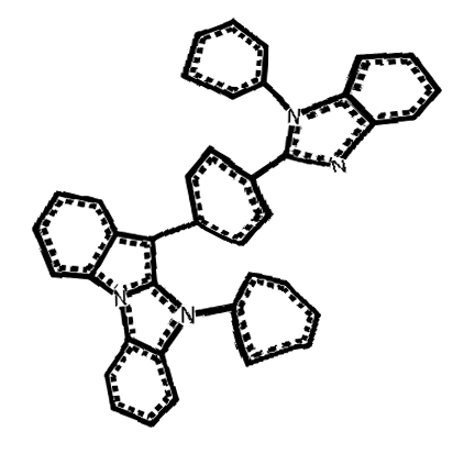 c1ccc(-n2c(-c3ccc(-c4c5ccccc5n5c6ccccc6n(-c6ccccc6)c45)cc3)nc3ccccc32)cc1